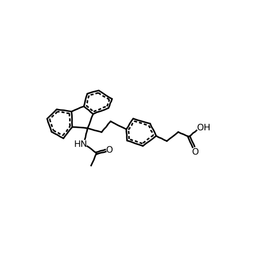 CC(=O)NC1(CCc2ccc(CCC(=O)O)cc2)c2ccccc2-c2ccccc21